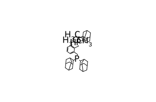 CC(C)(C)C12CC3CC(CC(C3)C1PCc1ccccc1CP(C1C3CC4CC(C3)CC1C4)C1C3CC4CC(C3)CC1C4)C2